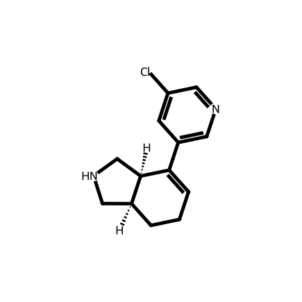 Clc1cncc(C2=CCC[C@H]3CNC[C@@H]23)c1